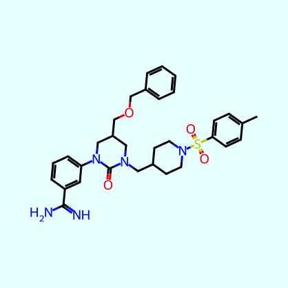 Cc1ccc(S(=O)(=O)N2CCC(CN3CC(COCc4ccccc4)CN(c4cccc(C(=N)N)c4)C3=O)CC2)cc1